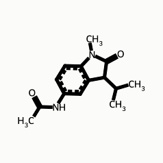 CC(=O)Nc1ccc2c(c1)C(C(C)C)C(=O)N2C